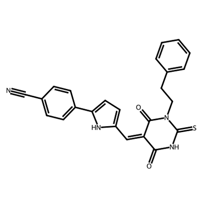 N#Cc1ccc(-c2ccc(/C=C3/C(=O)NC(=S)N(CCc4ccccc4)C3=O)[nH]2)cc1